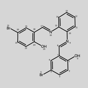 Oc1ccc(Br)cc1C=Nc1ccccc1N=Cc1cc(Br)ccc1O